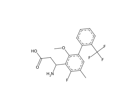 COc1c(-c2ccccc2C(F)(F)F)cc(C)c(F)c1C(N)CC(=O)O